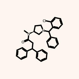 CN(C(=O)CC(c1ccccc1)c1ccccc1)[C@H]1CCN(C(c2ccccc2)c2ccccc2Cl)C1